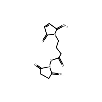 C=C1C=CC(=O)N1CCCC(=O)ON1C(=C)CCC1=O